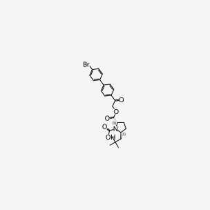 CC(C)(C)C[C@@H]1CC[C@@H](C(=O)OCC(=O)c2ccc(-c3ccc(Br)cc3)cc2)N1C(=O)O